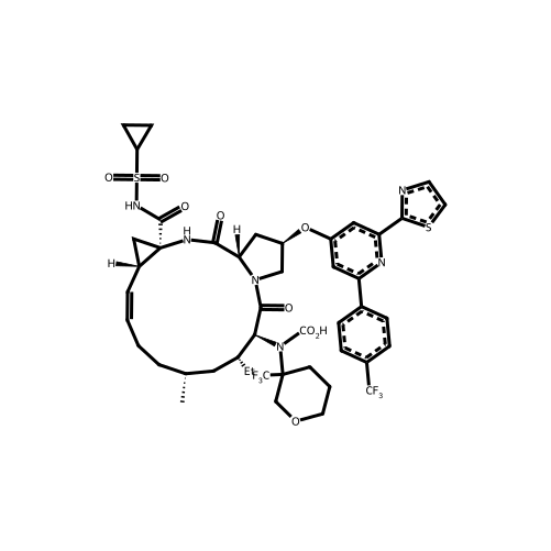 CC[C@@H]1C[C@H](C)CC/C=C\[C@@H]2C[C@@]2(C(=O)NS(=O)(=O)C2CC2)NC(=O)[C@@H]2C[C@@H](Oc3cc(-c4ccc(C(F)(F)F)cc4)nc(-c4nccs4)c3)CN2C(=O)[C@H]1N(C(=O)O)C1(C(F)(F)F)CCCOC1